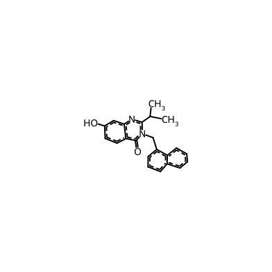 CC(C)c1nc2cc(O)ccc2c(=O)n1Cc1cccc2ccccc12